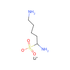 NCCCCC(N)S(=O)(=O)[O-].[Li+]